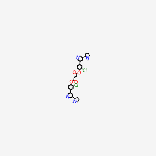 CN1CCCC1c1cncc(-c2ccc(OC(=O)/C=C/C(=O)Oc3ccc(-c4cncc(C5CCCN5C)c4)cc3Cl)c(Cl)c2)c1